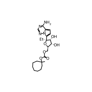 CC[C@@]1(c2ccc3c(N)ncnn23)O[C@H](COC(=O)OC2(C)CCCCCCC2)[C@@H](O)[C@H]1O